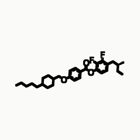 CCCCCC1CCC(COc2ccc(C(=O)Oc3ccc(C[C@@H](C)CC)c(F)c3F)cc2)CC1